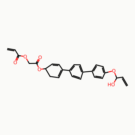 C=CC(=O)OCC(=O)OC1C=CC(c2ccc(-c3ccc(OC(O)C=C)cc3)cc2)=CC1